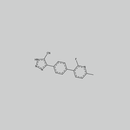 Cc1ccc(-c2ccc(-c3nn[nH]c3C#N)cc2)c(F)n1